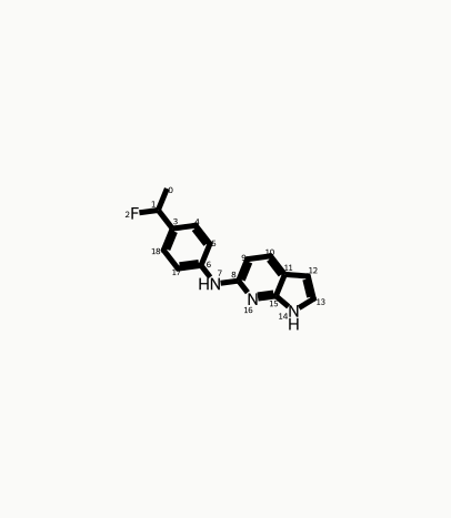 CC(F)c1ccc(Nc2ccc3cc[nH]c3n2)cc1